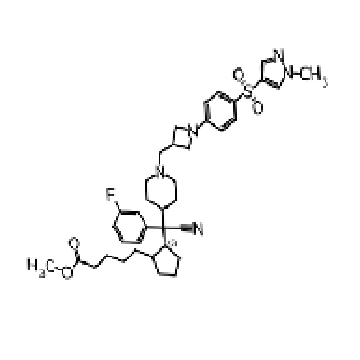 COC(=O)CCCCC1CCC[C@@H]1C(C#N)(c1cccc(F)c1)C1CCN(CC2CN(c3ccc(S(=O)(=O)c4cnn(C)c4)cc3)C2)CC1